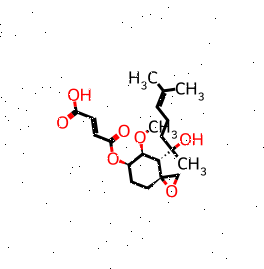 CO[C@H]1[C@H](C(C)(O)CCC=C(C)C)[C@]2(CC[C@H]1OC(=O)/C=C/C(=O)O)CO2